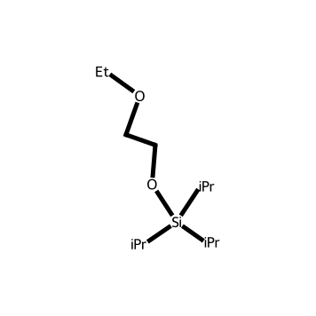 CCOCCO[Si](C(C)C)(C(C)C)C(C)C